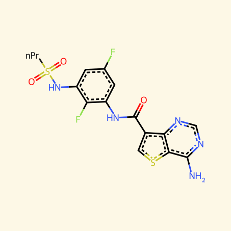 CCCS(=O)(=O)Nc1cc(F)cc(NC(=O)c2csc3c(N)ncnc23)c1F